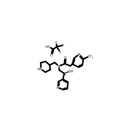 O=C(Cc1ccc(C(F)(F)F)nc1)N(CC1CCNCC1)C[C@@H](O)c1cccnc1.O=C(O)C(F)(F)F